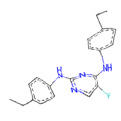 CCc1ccc(Nc2ncc(F)c(Nc3ccc(CC)cc3)n2)cc1